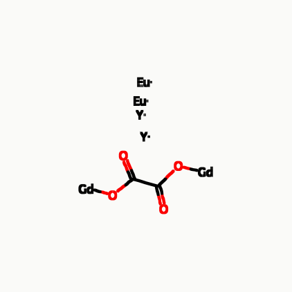 O=C([O][Gd])C(=O)[O][Gd].[Eu].[Eu].[Y].[Y]